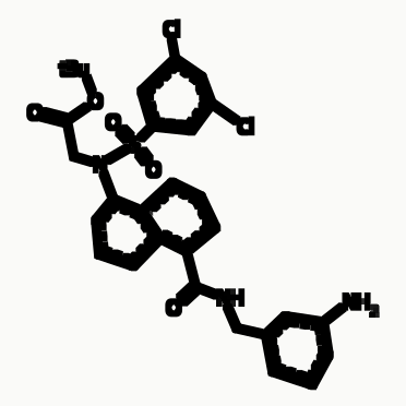 CC(C)(C)OC(=O)CN(c1cccc2c(C(=O)NCc3cccc(N)c3)cccc12)S(=O)(=O)c1cc(Cl)cc(Cl)c1